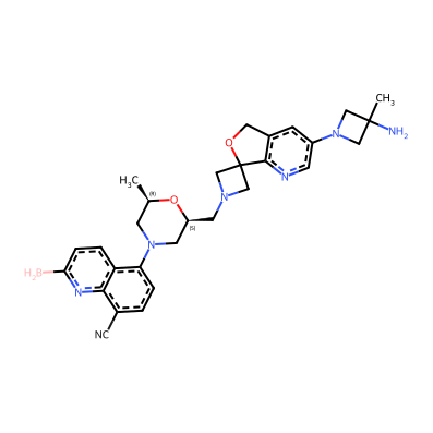 Bc1ccc2c(N3C[C@H](CN4CC5(C4)OCc4cc(N6CC(C)(N)C6)cnc45)O[C@H](C)C3)ccc(C#N)c2n1